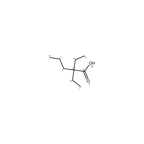 CCCC(CC)(CC)C(=O)O